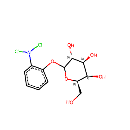 OC[C@H]1OC(Oc2ccccc2N(Cl)Cl)[C@H](O)[C@@H](O)[C@H]1O